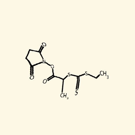 CCSC(=S)SC(C)C(=O)ON1C(=O)CCC1=O